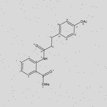 COC(=O)c1ccccc1NC(=O)CCc1ccc(OC(C)=O)cc1